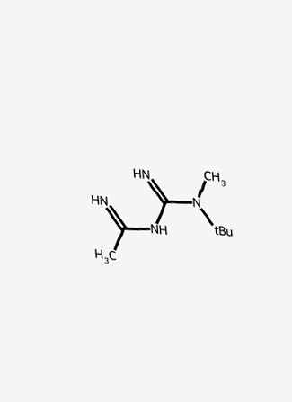 CC(=N)NC(=N)N(C)C(C)(C)C